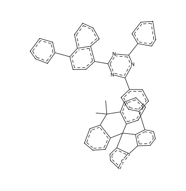 CC1(C)c2ccccc2C2(c3ccccc3-c3cccc(-c4ccc(-c5nc(-c6ccccc6)nc(-c6ccc(-c7ccccc7)c7ccccc67)n5)cc4)c32)c2ccccc21